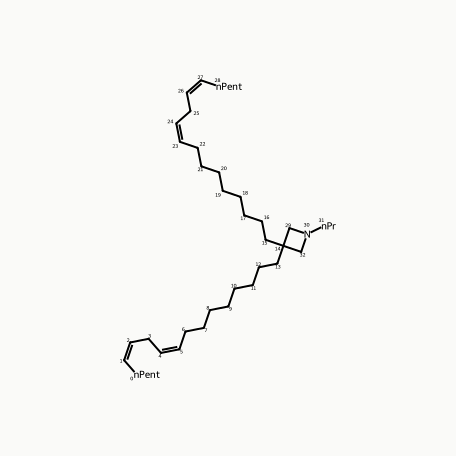 CCCCC/C=C\C/C=C\CCCCCCCCC1(CCCCCCCC/C=C\C/C=C\CCCCC)CN(CCC)C1